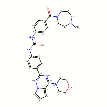 CN1CCCN(C(=O)c2ccc(NC(=O)Nc3ccc(-c4nc(N5CCOCC5)c5cccn5n4)cc3)cc2)CC1